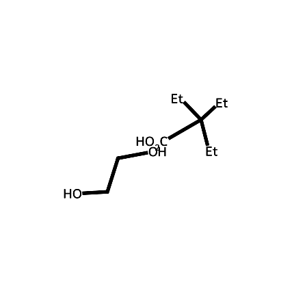 CCC(CC)(CC)C(=O)O.OCCO